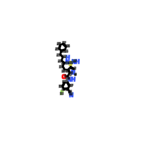 Cn1cc2c(c1C(=O)Nc1ccc(F)c(C#N)c1)CCC(CCCc1ccccc1)NS2=N